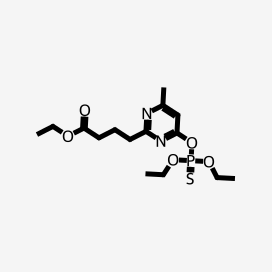 CCOC(=O)CCCc1nc(C)cc(OP(=S)(OCC)OCC)n1